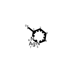 Ic1cccnn1.[Ag]